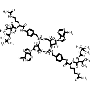 CC(C)C(NC(=O)OC(C)(C)C)C(=O)N[C@@H](CCCNC(N)=O)C(=O)Nc1ccc(CSP2(=O)OC[C@H]3O[C@@H](n4cnc5c(N)ncnc54)[C@H](F)[C@@H]3OP(=O)(SCc3ccc(NC(=O)[C@H](CCCNC(N)=O)NC(=O)[C@@H](NC(=O)OC(C)(C)C)C(C)C)cc3)OC[C@H]3O[C@@H](n4cnc5c(=O)[nH]cnc54)C[C@@H]3O2)cc1